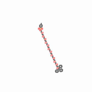 Cc1ccc(S(=O)(=O)OCCOCCOCCOCCOCCOCCOCCOCCOCCOCCOCCOCCOC(c2ccccc2)(c2ccccc2)c2ccccc2)cc1